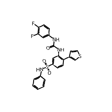 O=C(Nc1ccc(F)c(F)c1)Nc1cc(S(=O)(=O)Nc2ccccc2)ccc1-c1ccsc1